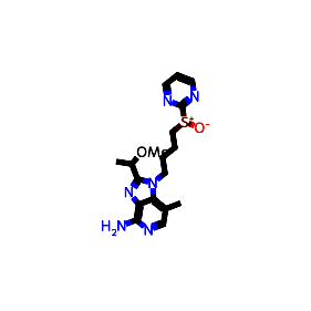 COC(C)c1nc2c(N)ncc(C)c2n1CCCC[S+]([O-])c1ncccn1